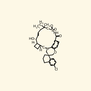 C[C@H]1/C=C/[C@@H](O)[C@@H]2CC[C@H]2CN2C[C@@]3(CCCc4cc(Cl)ccc43)COc3ccc(cc32)C(=O)NS(=O)(=O)CC1(C)C